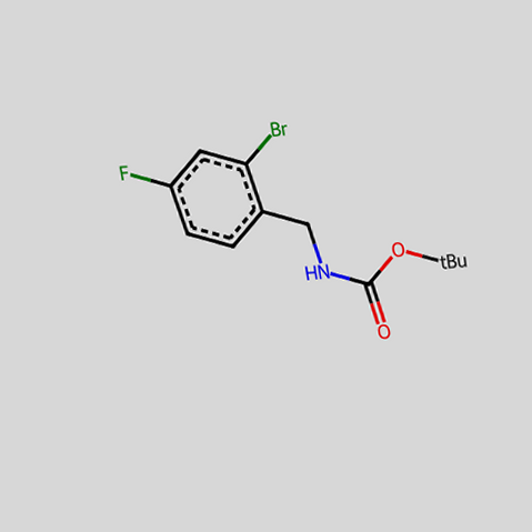 CC(C)(C)OC(=O)NCc1ccc(F)cc1Br